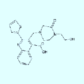 O=C(O)c1c(CN2CCN(CCO)C(=O)C2)c(-c2cccs2)nc2ccccc12